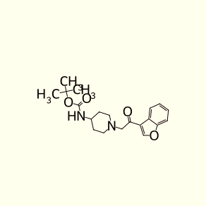 CC(C)(C)OC(=O)NC1CCN(CC(=O)c2coc3ccccc23)CC1